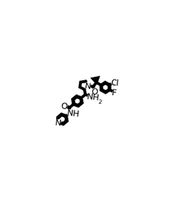 NC(c1ccc(C(=O)Nc2ccncc2)cc1)C1CCCN1C(=O)C1(c2ccc(F)c(Cl)c2)CC1